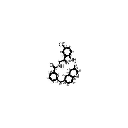 O=C(NCc1n[nH]c2ccc(Cl)cc12)c1cccc(Cc2ccc3ncc(Cl)cc3c2)n1